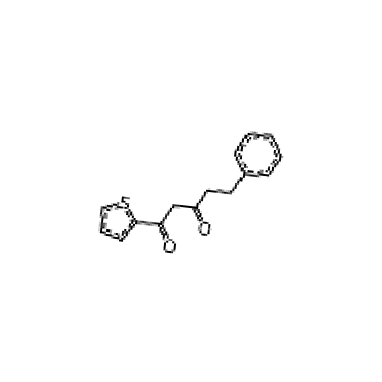 O=C(CCc1ccccc1)CC(=O)c1cccs1